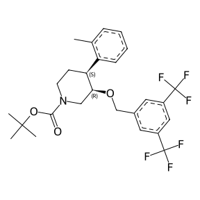 Cc1ccccc1[C@@H]1CCN(C(=O)OC(C)(C)C)C[C@@H]1OCc1cc(C(F)(F)F)cc(C(F)(F)F)c1